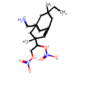 CCC1(C)CC2=CC(C)(C(CO[N+](=O)[O-])O[N+](=O)[O-])CC(CN)(C2)C1